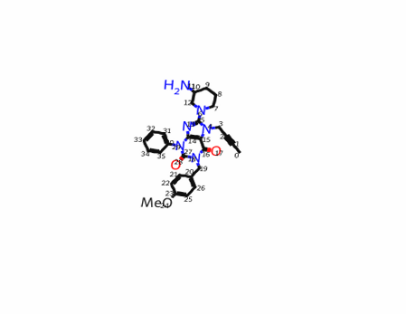 CC#CCn1c(N2CCCC(N)C2)nc2c1c(=O)n(Cc1ccc(OC)cc1)c(=O)n2-c1ccccc1